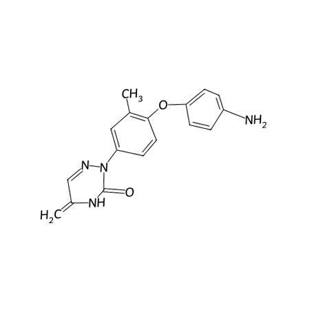 C=C1C=NN(c2ccc(Oc3ccc(N)cc3)c(C)c2)C(=O)N1